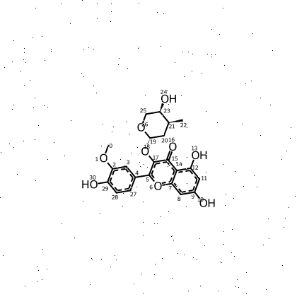 COc1cc(-c2oc3cc(O)cc(O)c3c(=O)c2O[C@H]2C[C@H](C)[C@H](O)CO2)ccc1O